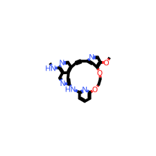 CNc1ncc2c3cc(ncc13)Nc1cccc(n1)OCCOc1cc(ncc1OC)C#C2